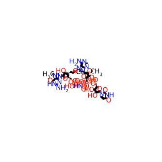 COCC[C@H]1[C@@H](O)[C@H](n2c[n+](C)c3c(=O)[nH]c(N)nc32)O[C@@H]1COP(=O)(O)OP(=O)(O)NP(=O)(O)OC[C@H]1O[C@@H](n2cnc3c(N)ncnc32)[C@H](OC)[C@@H]1OP(=O)([O-])OC[C@H]1O[C@@H](n2ccc(=O)[nH]c2=O)[C@H](O)[C@@H]1O